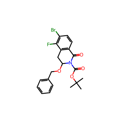 CC(C)(C)OC(=O)N1C(=O)c2ccc(Br)c(F)c2CC1OCc1ccccc1